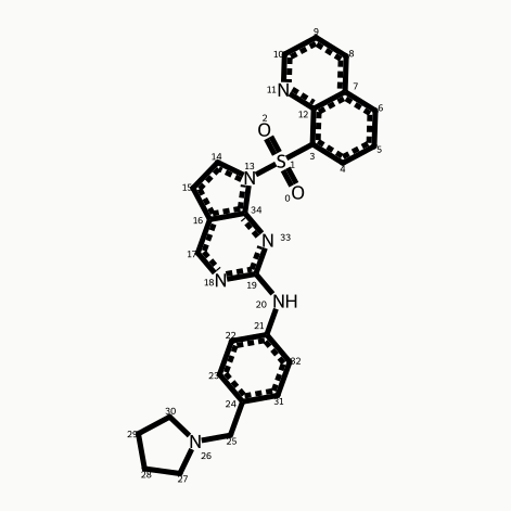 O=S(=O)(c1cccc2cccnc12)n1ccc2cnc(Nc3ccc(CN4CCCC4)cc3)nc21